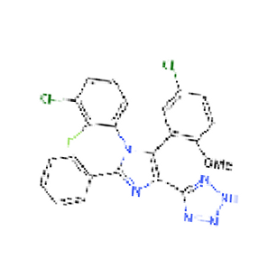 COc1ccc(Cl)cc1-c1c(-c2nn[nH]n2)nc(-c2ccccc2)n1-c1cccc(Cl)c1F